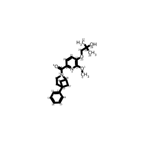 COc1nc(C(=O)N2CCC3(c4ccccc4)CC2C3)ccc1OCC(C)(C)O